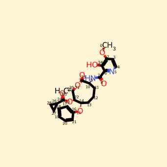 COc1ccnc(C(=O)N[C@H]2CCC[C@H](Oc3ccccc3)[C@@H](OC(=O)C3CC3)[C@H](C)OC2=O)c1O